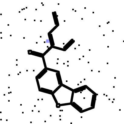 C=C/C=C(\C=C)C(=O)c1ccc2oc3ccccc3c2c1